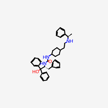 C[C@@H](NCCC1CCC(NC(=O)N[C@H](Cc2ccccc2)C(O)(c2ccccc2)c2ccccc2)CC1)c1ccccc1